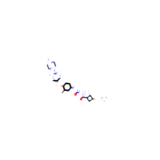 COC1CC(C(=O)NC(=O)Nc2ccc(Oc3cnc(N4CCN(C)CC4)nc3)c(C)c2)C1